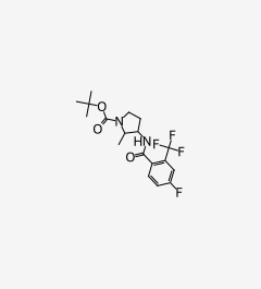 CC1C(NC(=O)c2ccc(F)cc2C(F)(F)F)CCN1C(=O)OC(C)(C)C